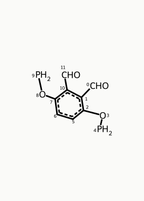 O=Cc1c(OP)ccc(OP)c1C=O